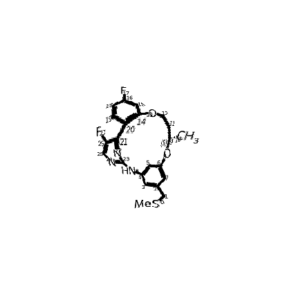 CSCc1cc2cc(c1)O[C@@H](C)CCOc1cc(F)ccc1-c1nc(ncc1F)N2